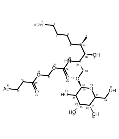 CCCCCCCCCCCCCC[C@@H](C)[C@@H](O)[C@H](CO[C@H]1OC(CO)[C@H](O)[C@H](O)C1O)NC(=O)OCOC(=O)CCC(C)=O